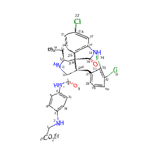 CCOC(=O)CNc1ccc(NC(=O)[C@@H]2N[C@@H](CC(C)(C)C)[C@@]3(C(=O)Nc4cc(Cl)ccc43)[C@H]2c2cccc(Cl)c2F)cc1